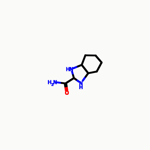 NC(=O)C1NC2CCCCC2N1